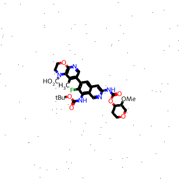 COC1COCCC1OC(=O)Nc1cc2cc(-c3cnc4c(c3C)N(C(=O)O)CCO4)c(F)c(NC(=O)OC(C)(C)C)c2cn1